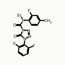 CCN(C(=O)n1nnn(-c2c(F)cccc2F)c1=O)c1ccc(C)cc1F